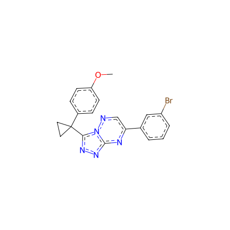 COc1ccc(C2(c3nnc4nc(-c5cccc(Br)c5)cnn34)CC2)cc1